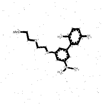 COCCOCCOc1cc(-c2cc(C)ccc2C)cc(N(C)C)c1